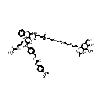 CC(=O)NC1C(OCCOCCOCCOCCNC(=O)CCC(=O)NC(Cc2ccccc2)C(=O)NC(CCCNC(N)=O)C(=O)Nc2ccc(COC(=O)Oc3ccc([N+](=O)[O-])cc3)cc2)CC(CO)C(O)C1O